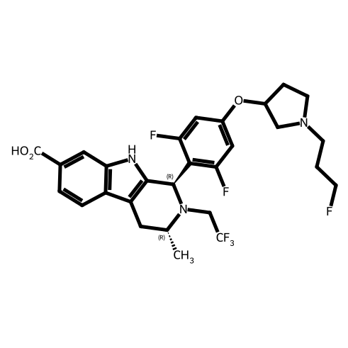 C[C@@H]1Cc2c([nH]c3cc(C(=O)O)ccc23)[C@@H](c2c(F)cc(OC3CCN(CCCF)C3)cc2F)N1CC(F)(F)F